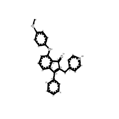 COc1ccc(Oc2cccc3c2C(=O)C(Cc2ccncc2)=C3c2ccccc2)cc1